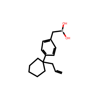 C=CCC1(c2ccc(CB(O)O)cc2)CCCCC1